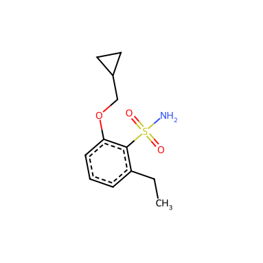 CCc1cccc(OCC2CC2)c1S(N)(=O)=O